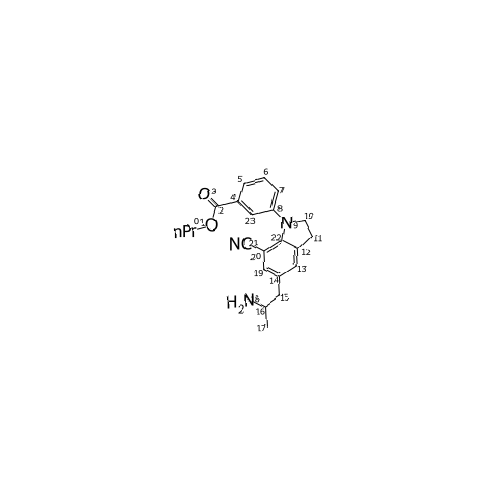 CCCOC(=O)c1cccc(N2CCc3cc(CC(C)N)cc(C#N)c32)c1